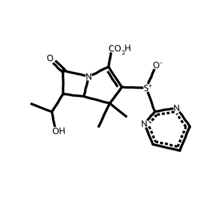 CC(O)C1C(=O)N2C(C(=O)O)=C([S+]([O-])c3ncccn3)C(C)(C)C12